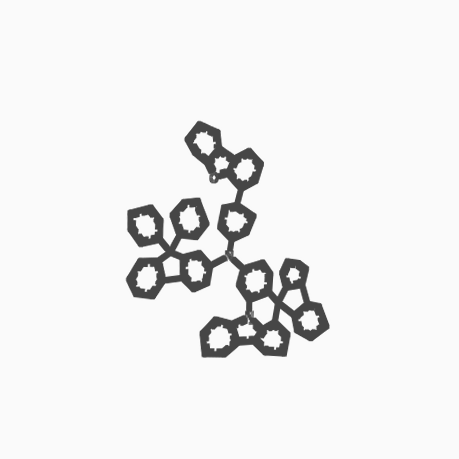 c1ccc(C2(c3ccccc3)c3ccccc3-c3ccc(N(c4ccc(-c5cccc6c5oc5ccccc56)cc4)c4ccc5c(c4)-n4c6ccccc6c6cccc(c64)C54c5ccccc5-c5ccccc54)cc32)cc1